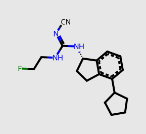 N#C/N=C(/NCCF)N[C@H]1CCc2c(C3CCCC3)cccc21